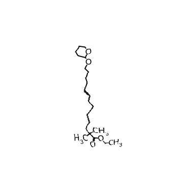 CCOC(=O)C(C)(C)CCCCC/C=C/CCCCOC1CCCCO1